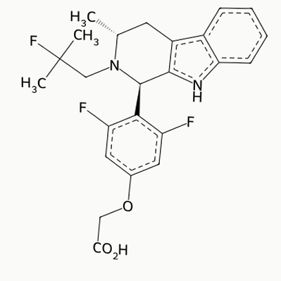 C[C@@H]1Cc2c([nH]c3ccccc23)[C@@H](c2c(F)cc(OCC(=O)O)cc2F)N1CC(C)(C)F